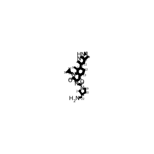 Cc1c(-c2cnc3[nH]ncc3c2)ccc2c3oc(N4CC[C@H](CN)C4)nc3c(=O)n(C3CC3)c12